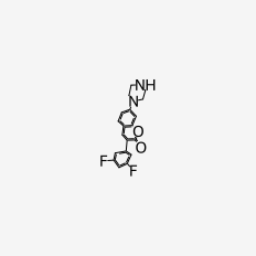 O=c1oc2cc(N3CCNCC3)ccc2cc1-c1cc(F)cc(F)c1